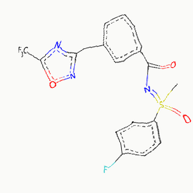 CS(=O)(=NC(=O)c1cccc(-c2noc(C(F)(F)F)n2)c1)c1ccc(F)cc1